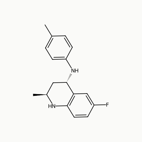 Cc1ccc(N[C@H]2C[C@H](C)Nc3ccc(F)cc32)cc1